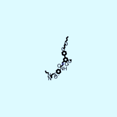 CCCCOCCOc1ccc(-c2cc(/C=C/C(=O)Nc3ccc([S+]([O-])Cc4cncn4CCC)cc3)c(OC)c(OC)c2)cc1